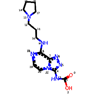 O=C(O)Nc1nnc2c(NCCCN3CCCC3)nccn12